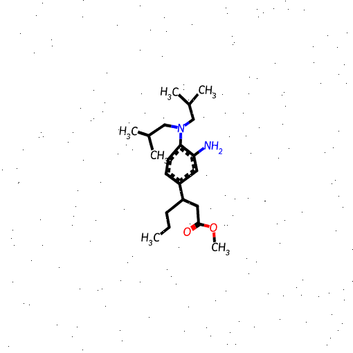 CCCC(CC(=O)OC)c1ccc(N(CC(C)C)CC(C)C)c(N)c1